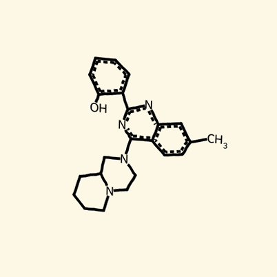 Cc1ccc2c(N3CCN4CCCCC4C3)nc(-c3ccccc3O)nc2c1